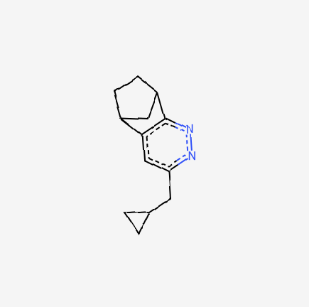 c1c(CC2CC2)nnc2c1C1CCC2C1